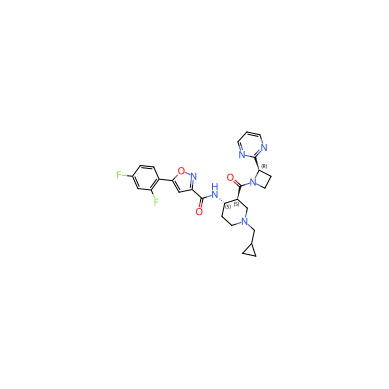 O=C(N[C@H]1CCN(CC2CC2)C[C@@H]1C(=O)N1CC[C@@H]1c1ncccn1)c1cc(-c2ccc(F)cc2F)on1